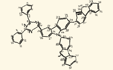 c1ccc(-c2nc(-c3ccccc3)nc(-c3ccc4c(c3)c3ccc(-c5ccc6c(c5)sc5ccccc56)cc3n4-c3ccc4c(c3)sc3ccccc34)n2)cc1